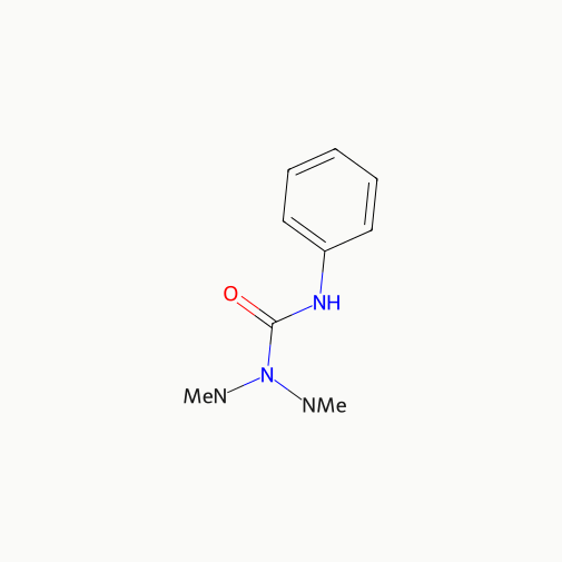 CNN(NC)C(=O)Nc1ccccc1